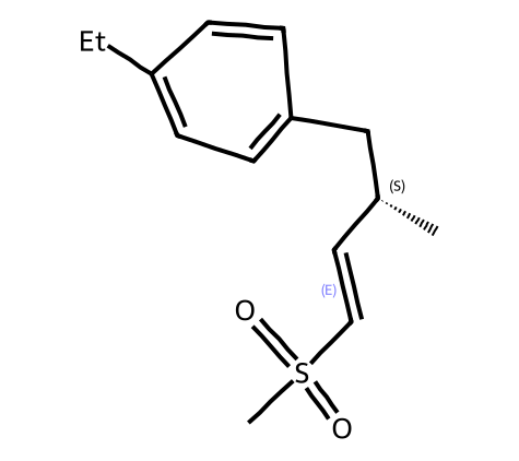 CCc1ccc(C[C@H](C)/C=C/S(C)(=O)=O)cc1